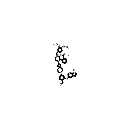 COc1ccc(CN2CCN(C3CC4(CCN(c5ccc(C=O)c(Oc6cnc7[nH]ccc7c6)c5)CC4)C3)C(c3ccccc3C(C)C)C2)cc1OC